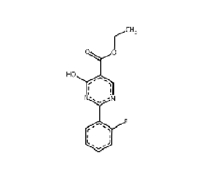 CCOC(=O)c1cnc(-c2ccccc2F)nc1O